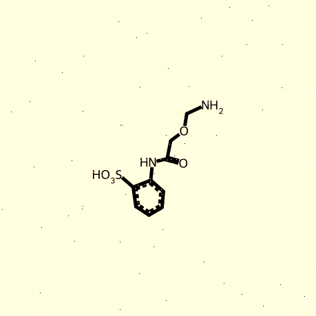 NCOCC(=O)Nc1ccccc1S(=O)(=O)O